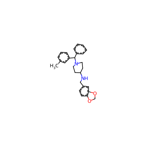 Cc1cccc(C(c2ccccc2)N2CCC(NCc3ccc4c(c3)OCO4)CC2)c1